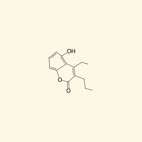 CCCc1c(CC)c2c(O)cccc2oc1=O